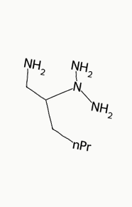 CCCCC(CN)N(N)N